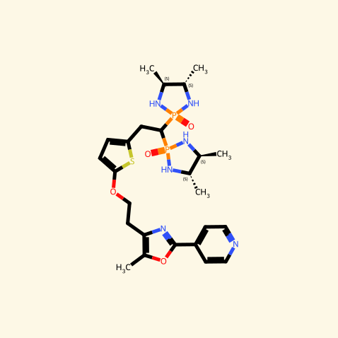 Cc1oc(-c2ccncc2)nc1CCOc1ccc(CC(P2(=O)N[C@@H](C)[C@H](C)N2)P2(=O)N[C@@H](C)[C@H](C)N2)s1